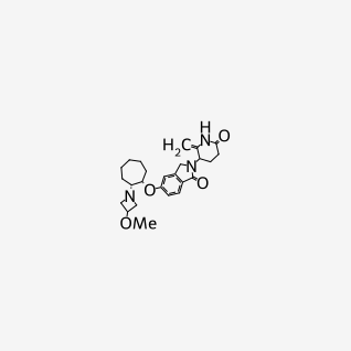 C=C1NC(=O)CCC1N1Cc2cc(O[C@H]3CCCCC[C@H]3N3CC(OC)C3)ccc2C1=O